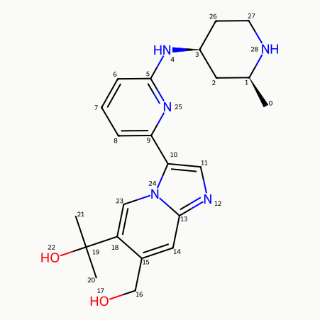 C[C@H]1C[C@@H](Nc2cccc(-c3cnc4cc(CO)c(C(C)(C)O)cn34)n2)CCN1